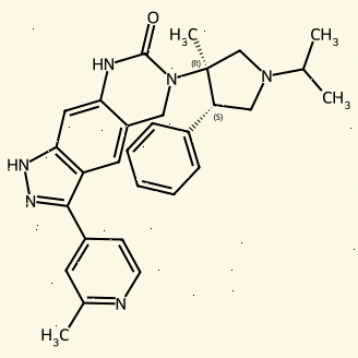 Cc1cc(-c2n[nH]c3cc4c(cc23)CN([C@@]2(C)CN(C(C)C)C[C@@H]2c2ccccc2)C(=O)N4)ccn1